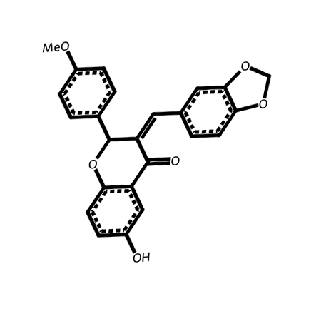 COc1ccc(C2Oc3ccc(O)cc3C(=O)/C2=C\c2ccc3c(c2)OCO3)cc1